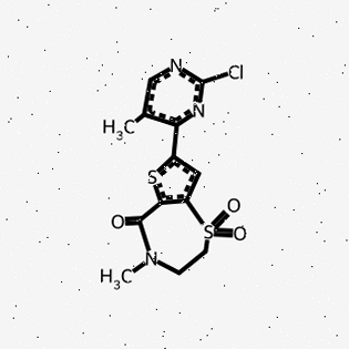 Cc1cnc(Cl)nc1-c1cc2c(s1)C(=O)N(C)CCS2(=O)=O